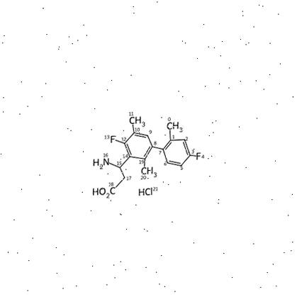 Cc1cc(F)ccc1-c1cc(C)c(F)c(C(N)CC(=O)O)c1C.Cl